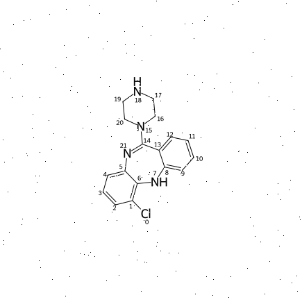 Clc1cccc2c1Nc1ccccc1C(N1CCNCC1)=N2